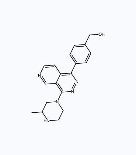 CC1CN(c2nnc(-c3ccc(CO)cc3)c3ccncc23)CCN1